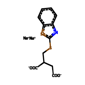 O=C([O-])CC(CSc1nc2ccccc2s1)C(=O)[O-].[Na+].[Na+]